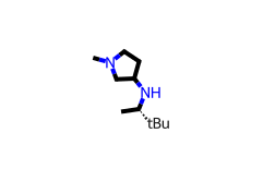 C[C@H](NC1CCN(C)C1)C(C)(C)C